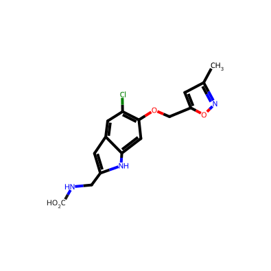 Cc1cc(COc2cc3[nH]c(CNC(=O)O)cc3cc2Cl)on1